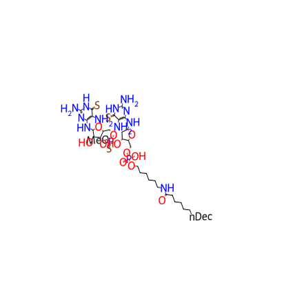 CCCCCCCCCCCCCCCC(=O)NCCCCCCOP(=O)(O)OCC1OC(Nc2nc(N)[nH]c(=S)c2N)CC1OP(=S)(OC)OCC1OC(Nc2nc(N)[nH]c(=S)c2N)C(O)C1O